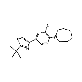 CC(C)(C)c1nc(-c2ccc(N3CCCCCC3)c(F)c2)cs1